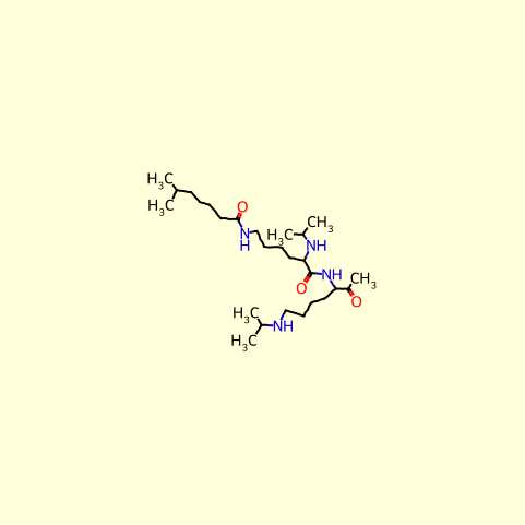 CC(=O)C(CCCCNC(C)C)NC(=O)C(CCCCNC(=O)CCCCC(C)C)NC(C)C